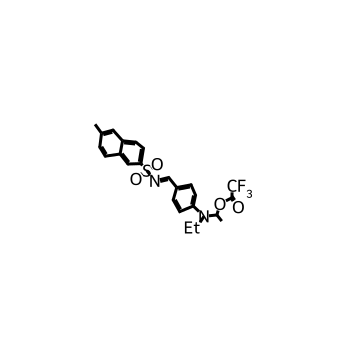 CCN(c1ccc(C=NS(=O)(=O)c2ccc3cc(C)ccc3c2)cc1)C(C)OC(=O)C(F)(F)F